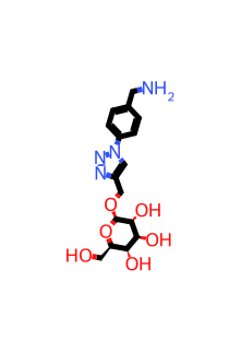 NCc1ccc(-n2cc(CO[C@@H]3O[C@H](CO)[C@@H](O)[C@H](O)[C@H]3O)nn2)cc1